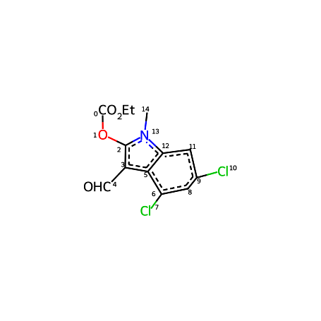 CCOC(=O)Oc1c(C=O)c2c(Cl)cc(Cl)cc2n1C